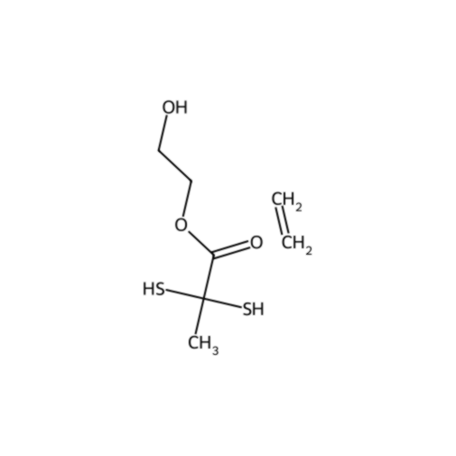 C=C.CC(S)(S)C(=O)OCCO